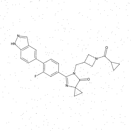 O=C(C1CC1)N1CC(CN2C(=O)C3(CC3)N=C2c2ccc(-c3ccc4[nH]ncc4c3)c(F)c2)C1